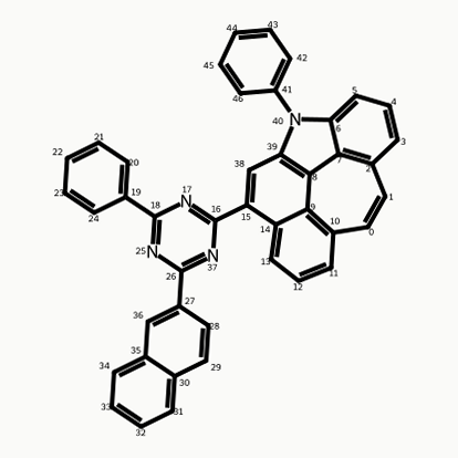 C1=Cc2cccc3c2c2c4c1cccc4c(-c1nc(-c4ccccc4)nc(-c4ccc5ccccc5c4)n1)cc2n3-c1ccccc1